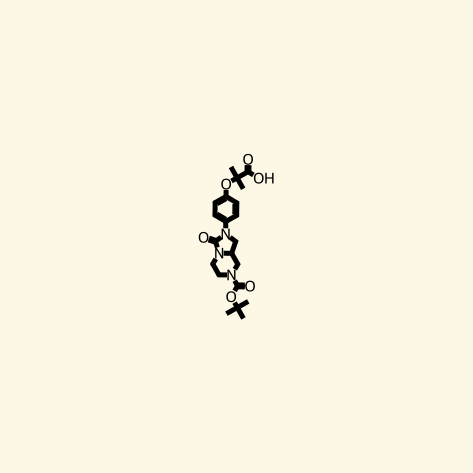 CC(C)(C)OC(=O)N1CCN2C(=O)N(c3ccc(OC(C)(C)C(=O)O)cc3)CC2C1